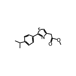 COC(=O)Cc1csc(-c2ccc(C(C)C)cc2)n1